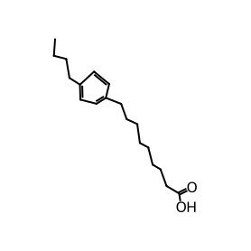 CCCCc1ccc(CCCCCCCCC(=O)O)cc1